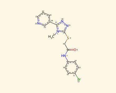 Cn1c(SCC(=O)Nc2ccc(Br)cc2)nnc1-c1cccnc1